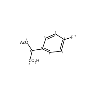 CC(=O)OC(C(=O)O)c1ccc(F)cc1